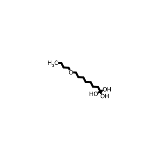 CCCCOCCCCCCCC(O)(O)O